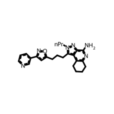 CCCn1nc2c(N)nc3c(c2c1CCCc1cc(-c2cccnc2)no1)CCCC3